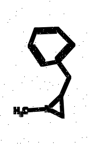 CN1CC1Cc1ccccc1